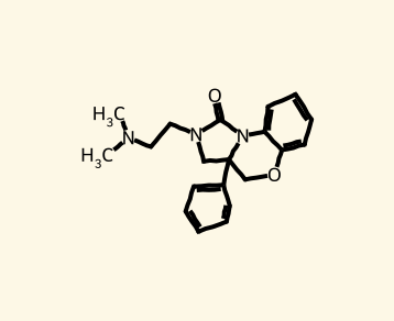 CN(C)CCN1CC2(c3ccccc3)COc3ccccc3N2C1=O